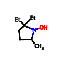 CCC1(CC)CCC(C)N1O